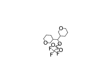 O=S(=O)(OC(C1CCCOC1)C1CCCOC1)C(F)(F)F